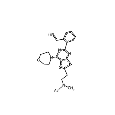 CC(=O)N(C)CCc1cc2nc(-c3ccccc3C=N)nc(N3CCOCC3)c2s1